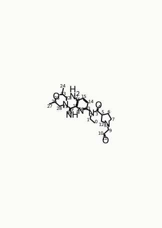 CCN(C(=O)C1CCN(CC=O)C1)c1ccc(N)c(C(=N)N2CC(C)OC(C)C2)n1